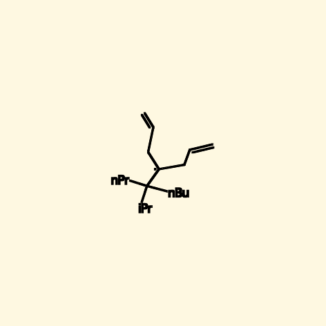 C=CC[C](CC=C)C(CCC)(CCCC)C(C)C